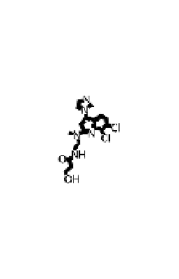 CN(CCNC(=O)CCO)c1cc(-n2ccnc2)c2ccc(Cl)c(Cl)c2n1